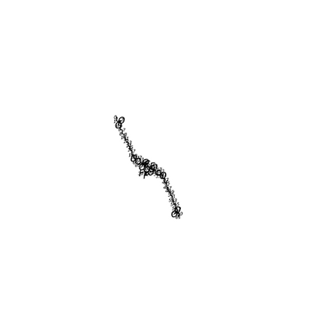 C=CC(=O)OCCCCCCCCCCCCCCCOc1ccc(C(=O)Oc2c(F)c(F)c(OC(=O)c3ccc(OCCCCCCCCCCCCCCCOC(=O)C=C)cc3)c(F)c2F)cc1